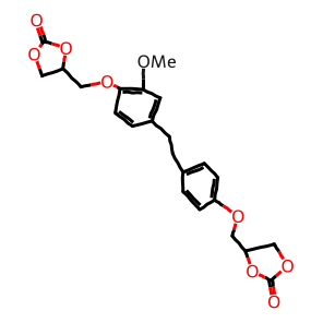 COc1cc(CCc2ccc(OCC3COC(=O)O3)cc2)ccc1OCC1COC(=O)O1